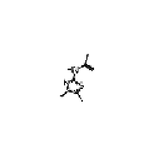 C=C(C)Nc1nc(C)c(C)s1